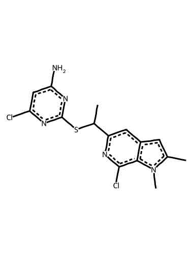 Cc1cc2cc(C(C)Sc3nc(N)cc(Cl)n3)nc(Cl)c2n1C